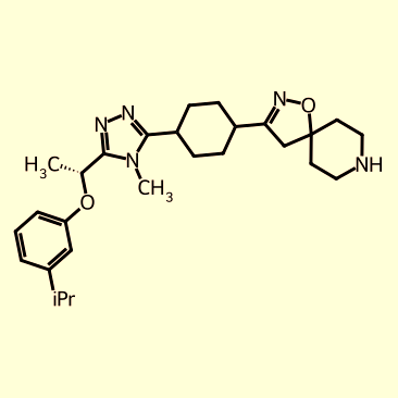 CC(C)c1cccc(O[C@H](C)c2nnc(C3CCC(C4=NOC5(CCNCC5)C4)CC3)n2C)c1